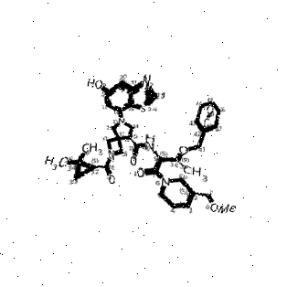 COC[C@H]1CCCN(C(=O)[C@@H](NC(=O)[C@@H]2CN(c3cc(O)cc4ncsc34)CC23CN(C(=O)[C@H]2CC2(C)C)C3)[C@@H](C)OCC23CCC(CC2)OC3)C1